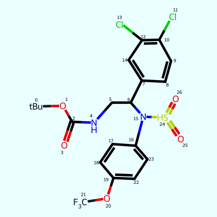 CC(C)(C)OC(=O)NCC(c1ccc(Cl)c(Cl)c1)N(c1ccc(OC(F)(F)F)cc1)[SH](=O)=O